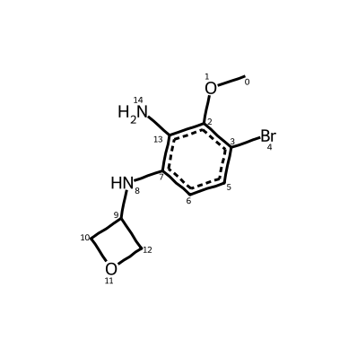 COc1c(Br)ccc(NC2COC2)c1N